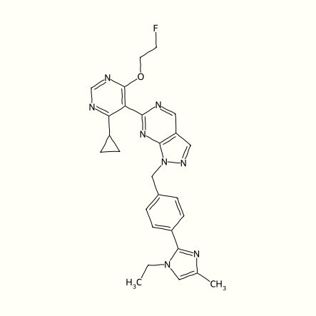 CCn1cc(C)nc1-c1ccc(Cn2ncc3cnc(-c4c(OCCF)ncnc4C4CC4)nc32)cc1